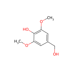 COc1cc(CO)cc(OC)c1O